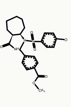 COC(=O)c1ccc(CN([C@@H]2CCCCC[C@@H]2C(N)=O)S(=O)(=O)c2ccc(Cl)cc2)cc1